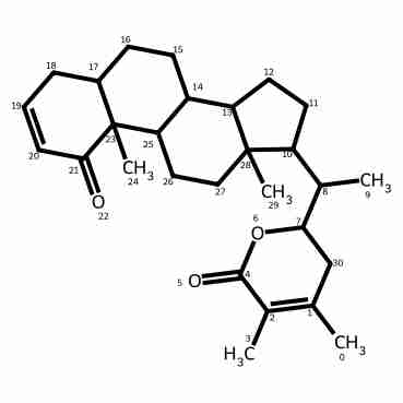 CC1=C(C)C(=O)OC(C(C)C2CCC3C4CCC5CC=CC(=O)C5(C)C4CCC23C)C1